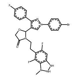 CN1NNc2cc(F)c(CCN3C(=O)COC3c3cn(-c4ccc(Br)cc4)nc3-c3ccc(F)cc3)c(F)c21